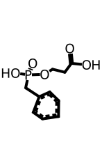 O=C(O)CCOP(=O)(O)Cc1ccccc1